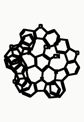 N#Cc1c(C#N)c(-n2c3ccccc3c3ccc4oc5ccccc5c4c32)c(-n2c3ccccc3c3ccc4oc5ccccc5c4c32)c(-n2c3ccccc3c3ccc4oc5ccccc5c4c32)c1-n1c2ccccc2c2ccc3oc4ccccc4c3c21